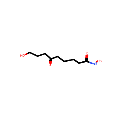 O=C(CCCO)CCCCC(=O)NO